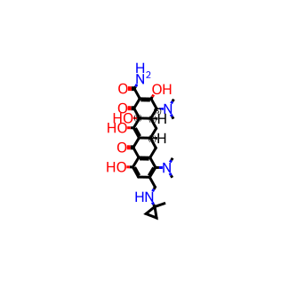 CN(C)c1c(CNC2(C)CC2)cc(O)c2c1C[C@H]1C[C@H]3[C@H](N(C)C)C(O)=C(C(N)=O)C(=O)[C@@]3(O)C(O)=C1C2=O